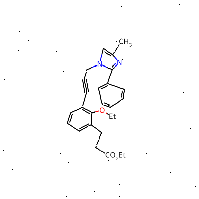 CCOC(=O)CCc1cccc(C#CCn2cc(C)nc2-c2ccccc2)c1OCC